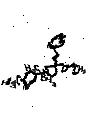 CCOC[C@@]1(CCc2nccs2)CCN(C(C)(C)c2ccc(C)nc2)C1